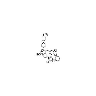 CN1CCN(C2CCN(C(=O)C(Cc3ccc(Cl)c(Cl)c3)[C@H]3CC(n4nc(-c5ccccc5)[nH]c4=O)CCN3C(=O)O)CC2)CC1